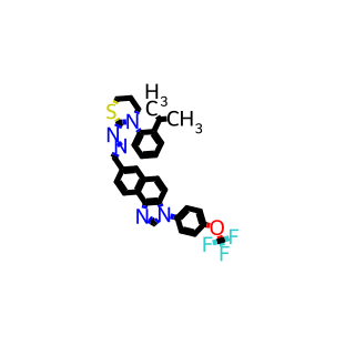 CC(C)c1ccccc1N1CCCSC1=NN=Cc1ccc2c(ccc3c2ncn3-c2ccc(OC(F)(F)F)cc2)c1